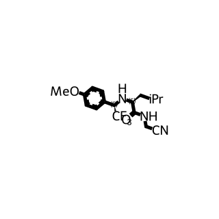 COc1ccc([C@H](N[C@@H](CC(C)C)C(=O)NCC#N)C(F)(F)F)cc1